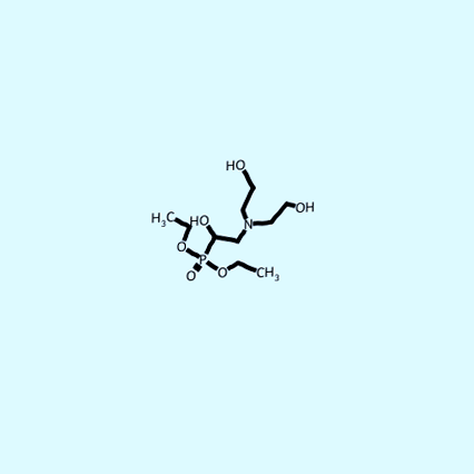 CCOP(=O)(OCC)C(O)CN(CCO)CCO